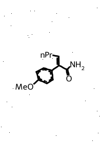 CCC/C=C(/C(N)=O)c1ccc(OC)cc1